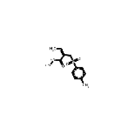 CC=C(CS(=O)(=O)c1ccc(C)cc1)C(=O)NCCC